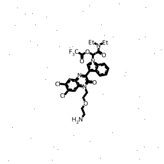 CCN(CC)C(=O)C(OC(=O)C(F)(F)F)n1cc(-c2nc3cc(Cl)c(Cl)cc3n(CCOCCN)c2=O)c2ccccc21